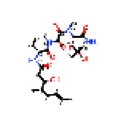 C/C=C/C[C@@H](C)[C@@H](O)CC(=O)N[C@@H](CC)C(=O)N(C)[C@H](O)C(=O)N(C)[C@@H](CC(C)(C)O)C(N)=O